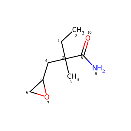 CCC(C)(CC1CO1)C(N)=O